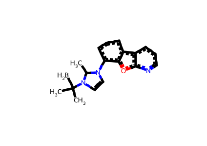 BC(C)(C)N1C=CN(c2cccc3c2oc2ncccc23)C1C